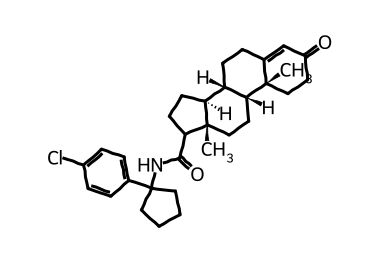 C[C@]12CCC(=O)C=C1CC[C@@H]1[C@H]2CC[C@]2(C)C(C(=O)NC3(c4ccc(Cl)cc4)CCCC3)CC[C@@H]12